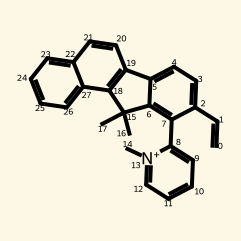 C=Cc1ccc2c(c1-c1cccc[n+]1C)C(C)(C)c1c-2ccc2ccccc12